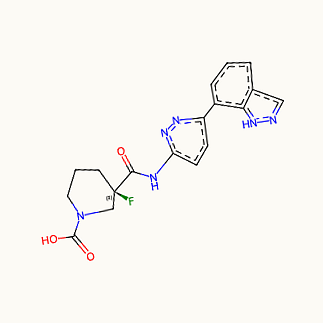 O=C(O)N1CCC[C@](F)(C(=O)Nc2ccc(-c3cccc4cn[nH]c34)nn2)C1